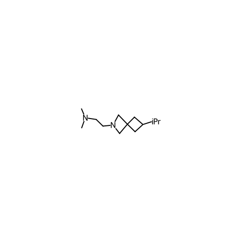 CC(C)C1CC2(C1)CN(CCN(C)C)C2